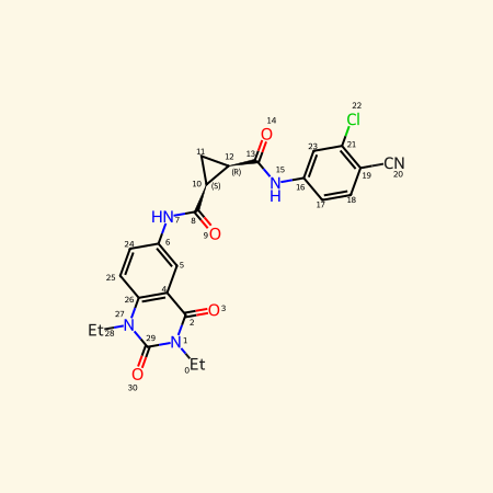 CCn1c(=O)c2cc(NC(=O)[C@H]3C[C@H]3C(=O)Nc3ccc(C#N)c(Cl)c3)ccc2n(CC)c1=O